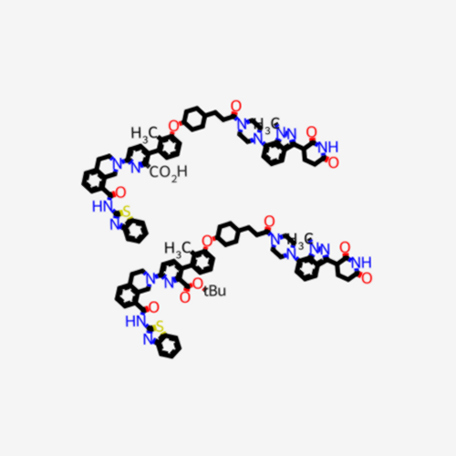 Cc1c(OC2CCC(CCC(=O)N3CCN(c4cccc5c(C6CCC(=O)NC6=O)nn(C)c45)CC3)CC2)cccc1-c1ccc(N2CCc3cccc(C(=O)Nc4nc5ccccc5s4)c3C2)nc1C(=O)O.Cc1c(OC2CCC(CCC(=O)N3CCN(c4cccc5c(C6CCC(=O)NC6=O)nn(C)c45)CC3)CC2)cccc1-c1ccc(N2CCc3cccc(C(=O)Nc4nc5ccccc5s4)c3C2)nc1C(=O)OC(C)(C)C